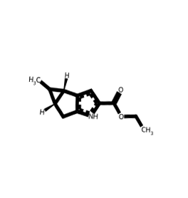 CCOC(=O)c1cc2c([nH]1)C[C@@H]1C(C)[C@H]21